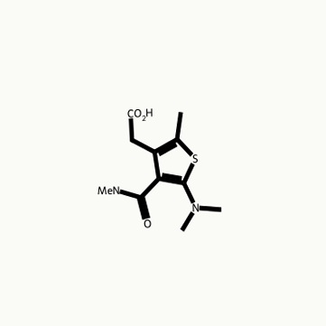 CNC(=O)c1c(N(C)C)sc(C)c1CC(=O)O